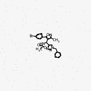 Cc1noc(-c2ccc(Br)cc2)c1C(NS(C)(=O)=O)c1cn(Cc2ccccc2)nn1